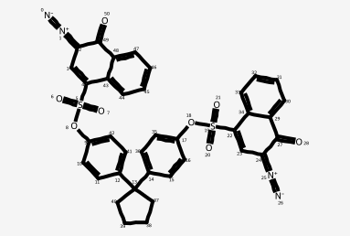 [N-]=[N+]=C1C=C(S(=O)(=O)Oc2ccc(C3(c4ccc(OS(=O)(=O)C5=CC(=[N+]=[N-])C(=O)c6ccccc65)cc4)CCCC3)cc2)c2ccccc2C1=O